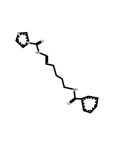 O=C(NCCCC/C=C/NC(=O)n1ccnc1)c1ccccc1